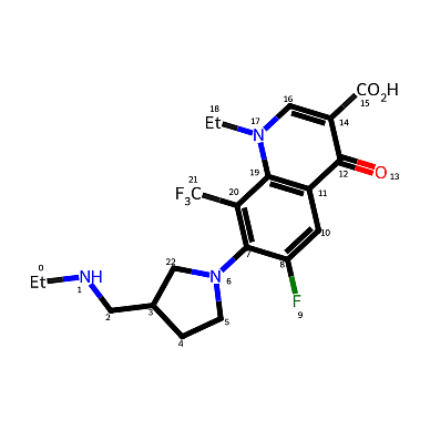 CCNCC1CCN(c2c(F)cc3c(=O)c(C(=O)O)cn(CC)c3c2C(F)(F)F)C1